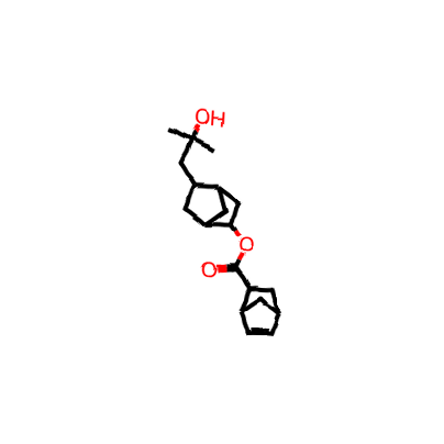 CC(C)(O)CC1CC2CC1CC2OC(=O)C1CC2C=CC1C2